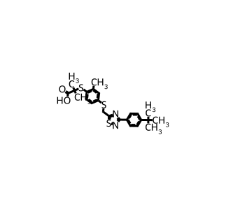 Cc1cc(SCc2nc(-c3ccc(C(C)(C)C)cc3)ns2)ccc1SC(C)(C)C(=O)O